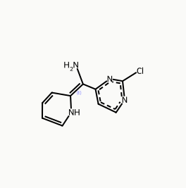 N/C(=C1\C=CC=CN1)c1ccnc(Cl)n1